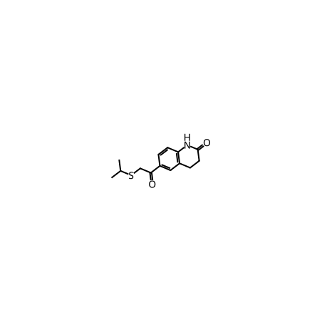 CC(C)SCC(=O)c1ccc2c(c1)CCC(=O)N2